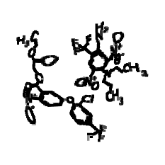 CCCN(CCC)c1c([N+](=O)[O-])cc(C(F)(F)F)c(N)c1[N+](=O)[O-].CCOC(=O)COC(=O)c1cc(Oc2ccc(C(F)(F)F)cc2Cl)ccc1[N+](=O)[O-]